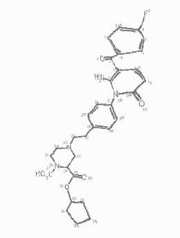 Nc1c(C(=O)c2ccc(F)cc2)ccc(=O)n1-c1ccc(CCN2CCN(C(=O)O)C(C(=O)OC3CCCC3)C2)cc1